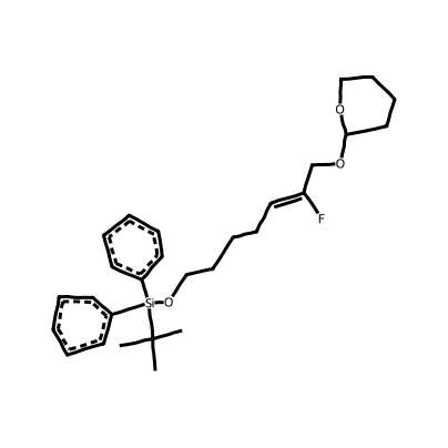 CC(C)(C)[Si](OCCCCC=C(F)COC1CCCCO1)(c1ccccc1)c1ccccc1